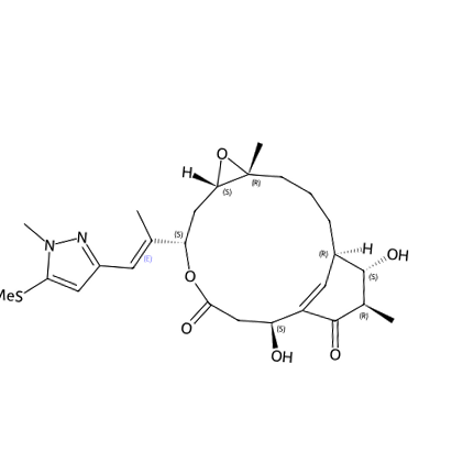 CSc1cc(/C=C(\C)[C@@H]2C[C@@H]3O[C@]3(C)CCC[C@@H]3C=C(C(=O)[C@H](C)[C@H]3O)[C@@H](O)CC(=O)O2)nn1C